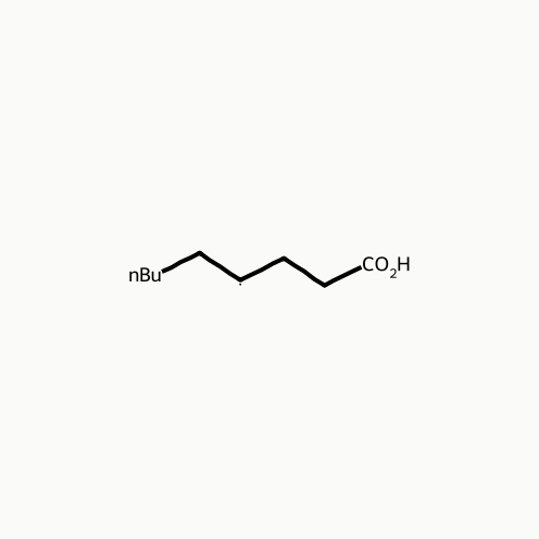 CCCCC[CH]CCC(=O)O